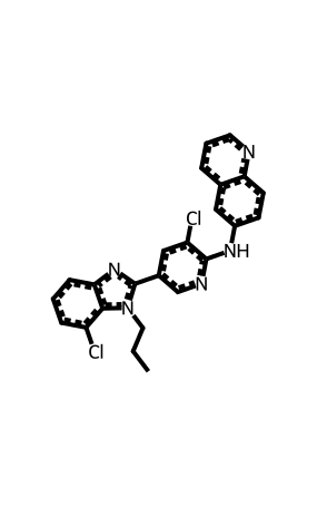 CCCn1c(-c2cnc(Nc3ccc4ncccc4c3)c(Cl)c2)nc2cccc(Cl)c21